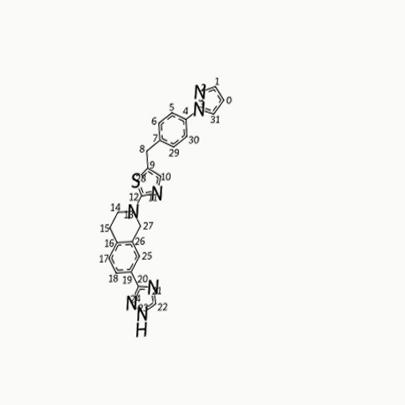 c1cnn(-c2ccc(Cc3cnc(N4CCc5ccc(-c6nc[nH]n6)cc5C4)s3)cc2)c1